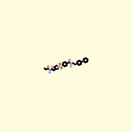 C=CC(=O)Nc1cc2c(o1)CN(S(=O)(=O)c1ccc(C(=O)NCCc3ccc(-c4ccccc4)cc3)cc1)C2